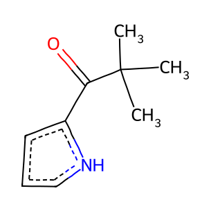 CC(C)(C)C(=O)c1ccc[nH]1